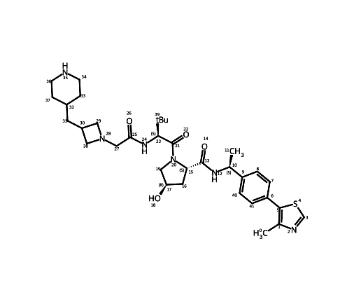 Cc1ncsc1-c1ccc([C@H](C)NC(=O)[C@@H]2C[C@@H](O)CN2C(=O)[C@@H](NC(=O)CN2CC(CC3CCNCC3)C2)C(C)(C)C)cc1